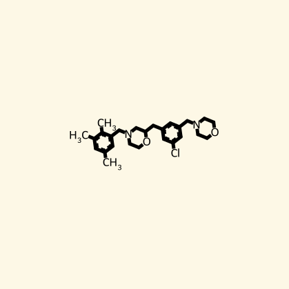 Cc1cc(C)c(C)c(CN2CCOC(Cc3cc(Cl)cc(CN4CCOCC4)c3)C2)c1